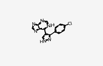 Clc1ccc(-c2n[nH]cc2-c2[nH]cnc3ncnc2-3)cc1